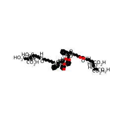 O=C(O)CCC(NC(=O)NC(CCCCNC(=O)CCCCCCCNC(=O)C(Cc1ccccc1)NC(=O)C(Cc1ccccc1)N[N]NC(Cc1ccccc1)C(=O)NC(Cc1ccccc1)C(=O)NCCCCCCCC(=O)NCCCCC(NC(=O)NC(CCC(=O)O)C(=O)O)C(=O)O)C(=O)O)C(=O)O